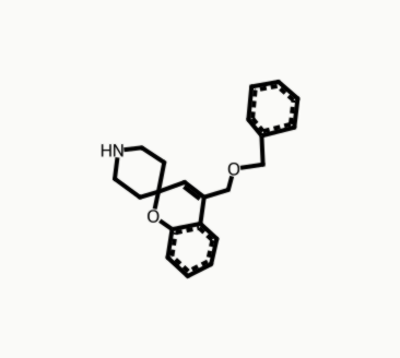 C1=C(COCc2ccccc2)c2ccccc2OC12CCNCC2